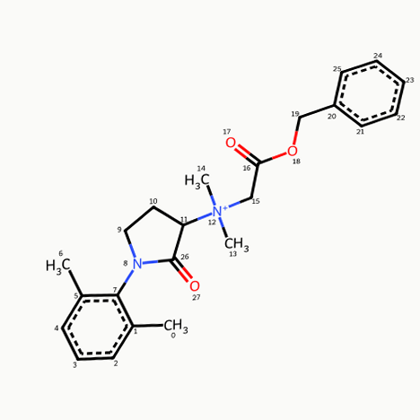 Cc1cccc(C)c1N1CCC([N+](C)(C)CC(=O)OCc2ccccc2)C1=O